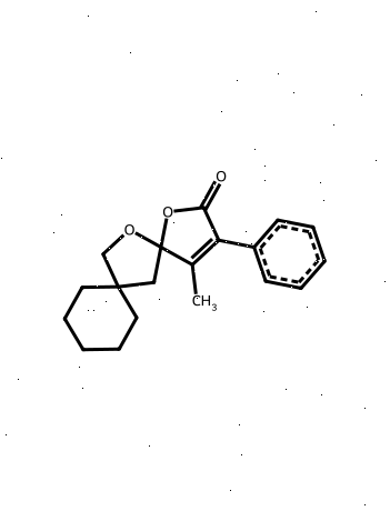 CC1=C(c2ccccc2)C(=O)OC12CC1(CCCCC1)CO2